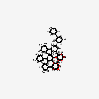 c1ccc(-c2cccc(-c3cc(-c4cccc(-c5ccccc5)c4)nc(-c4ccccc4-c4cc(-c5ccccc5)c(-c5ccccc5)c(-c5ccccc5)c4-c4ccccc4)n3)c2)cc1